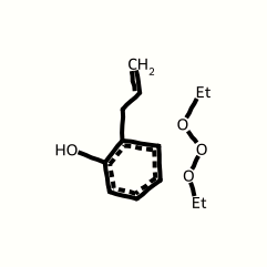 C=CCc1ccccc1O.CCOOOCC